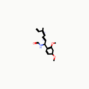 C=C/C(C)=C\C=C\C(NC=O)C1=C(OC)CC(OC)C=C1